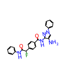 Nc1cn(-c2ccccc2)nc1NC(=O)c1ccc(C(F)C(=O)Nc2ccccc2)cc1